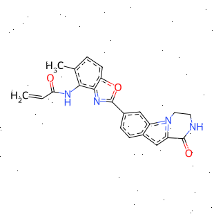 C=CC(=O)Nc1c(C)ccc2oc(-c3ccc4cc5n(c4c3)CCNC5=O)nc12